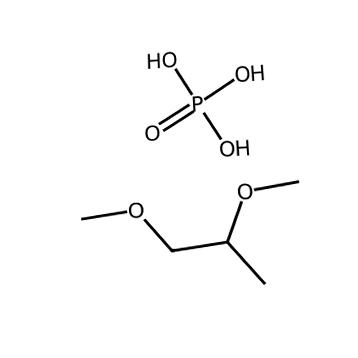 COCC(C)OC.O=P(O)(O)O